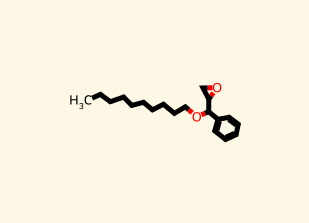 CCCCCCCCCCOC(c1ccccc1)C1CO1